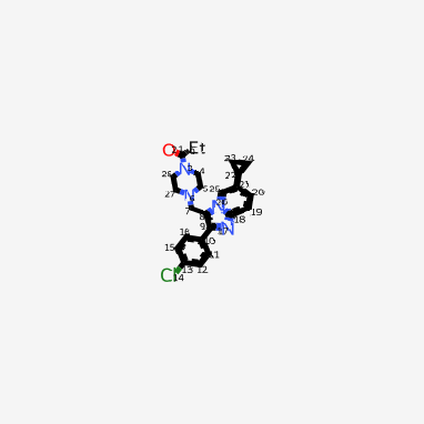 CCC(=O)N1CCN(Cc2c(-c3ccc(Cl)cc3)nc3ccc(C4CC4)cn23)CC1